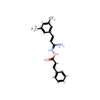 NC(/C=C/c1cc(C(F)(F)F)cc(C(F)(F)F)c1)=N\OC(=O)/C=C/c1ccccc1